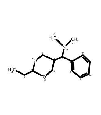 CCC1OCC(C(c2ccccc2)N(C)C)CO1